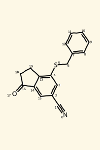 N#Cc1cc(SCc2ccccc2)c2c(c1)C(=O)CC2